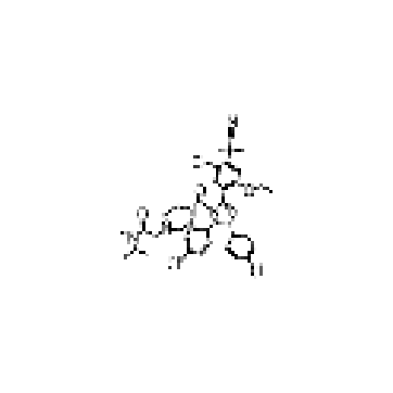 CCOc1cc(C(C)(C)C#N)c(Cl)cc1C1=N[C@@H](C2C=CC(Cl)=CC2)[C@@H](c2ccc(Cl)cc2)N1C(=O)N1CCN(CC(=O)N(C)C(C)C)CC1